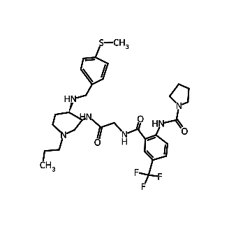 CCCN1CC[C@@H](NCc2ccc(SC)cc2)[C@@H](NC(=O)CNC(=O)c2cc(C(F)(F)F)ccc2NC(=O)N2CCCC2)C1